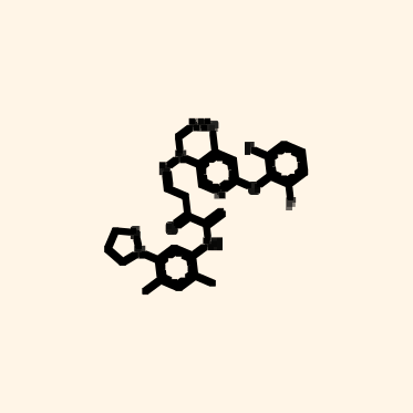 C=C(Nc1cc(N2CCCS2)c(C)cc1C)C(=O)C/C=N\N(CNC)c1cnc(Oc2c(F)cccc2F)cc1C